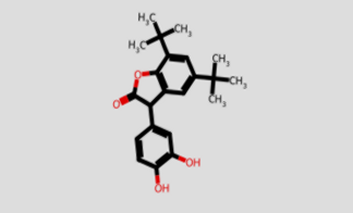 CC(C)(C)c1cc2c(c(C(C)(C)C)c1)OC(=O)C2c1ccc(O)c(O)c1